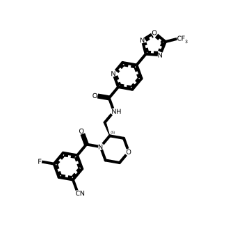 N#Cc1cc(F)cc(C(=O)N2CCOC[C@@H]2CNC(=O)c2ccc(-c3noc(C(F)(F)F)n3)cn2)c1